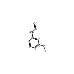 COc1cccc(NC=O)c1